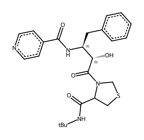 CC(C)(C)NC(=O)C1CSCN1C(=O)[C@@H](O)[C@H](Cc1ccccc1)NC(=O)c1ccncc1